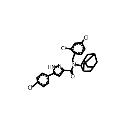 O=C(c1cc(-c2ccc(Cl)cc2)[nH]n1)N(Cc1ccc(Cl)cc1Cl)C1C2CC3CC(C2)CC1C3